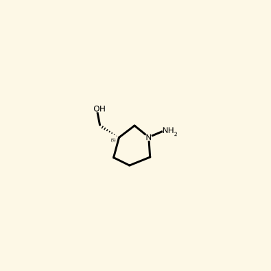 NN1CCC[C@H](CO)C1